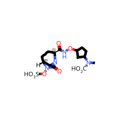 CN(C(=O)O)C1CCC(ONC(=O)[C@@H]2CC[C@@H]3CN2C(=O)N3OS(=O)(=O)O)C1